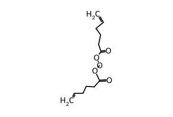 C=CCCCC(=O)OOOC(=O)CCCC=C